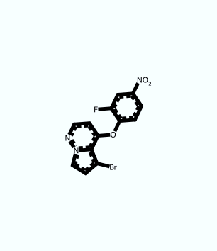 O=[N+]([O-])c1ccc(Oc2ccnn3ccc(Br)c23)c(F)c1